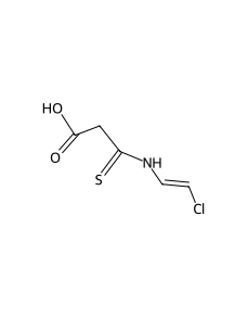 O=C(O)CC(=S)NC=CCl